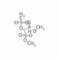 CO[PH](=O)C(OS(C)(=O)=O)S(=O)(=O)OC